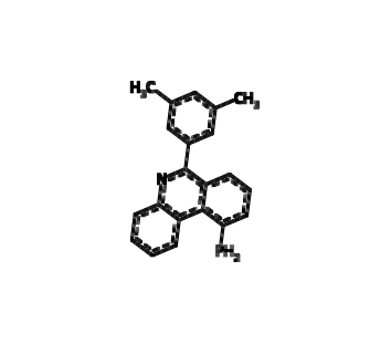 Cc1cc(C)cc(-c2nc3ccccc3c3c(P)cccc23)c1